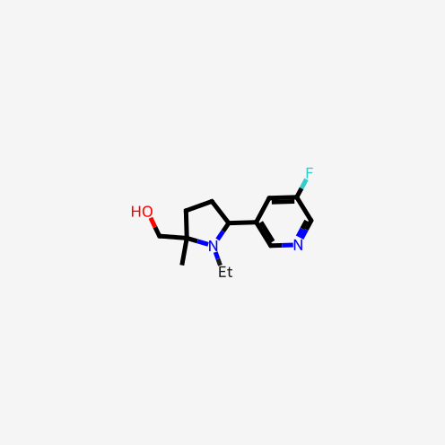 CCN1C(c2cncc(F)c2)CCC1(C)CO